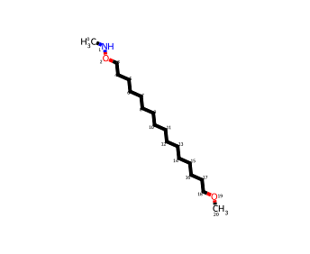 CNOCCCCCCCCCCCCCCCCOC